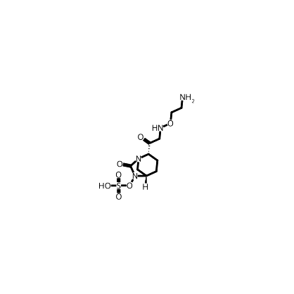 NCCONCC(=O)[C@@H]1CC[C@H]2CN1C(=O)N2OS(=O)(=O)O